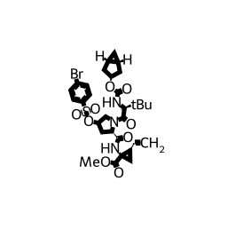 C=C[C@@H]1C[C@]1(NC(=O)[C@@H]1CC(OS(=O)(=O)c2ccc(Br)cc2)CN1C(=O)[C@@H](NC(=O)O[C@@H]1C[C@@H]2C[C@@H]2C1)C(C)(C)C)C(=O)OC